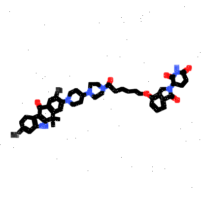 CCc1cc2c(cc1N1CCC(N3CCN(C(=O)CCCCCOc4cccc5c4CN(C4CCC(=O)NC4=O)C5=O)CC3)CC1)C(C)(C)c1[nH]c3c(c1C2=O)CCC(C#N)=C3